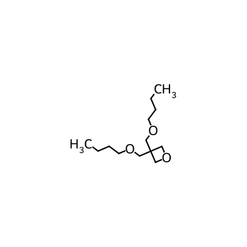 CCCCOCC1(COCCCC)COC1